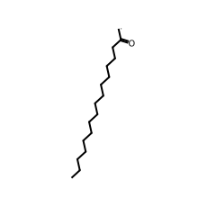 [CH2]C(=O)CCCCCCCCCCCCCCC